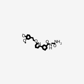 COc1ccc(CCOc2cccc(-c3cccc(C(=O)NCC(N)=O)c3)n2)cc1OC